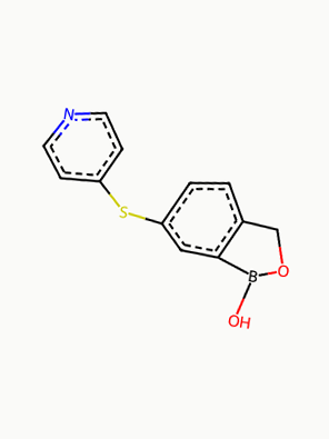 OB1OCc2ccc(Sc3ccncc3)cc21